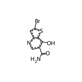 NC(=O)c1cnc2cc(Br)sc2c1O